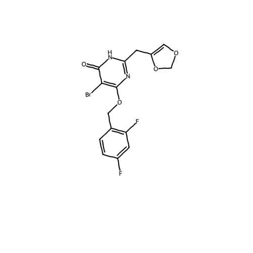 O=c1[nH]c(CC2=COCO2)nc(OCc2ccc(F)cc2F)c1Br